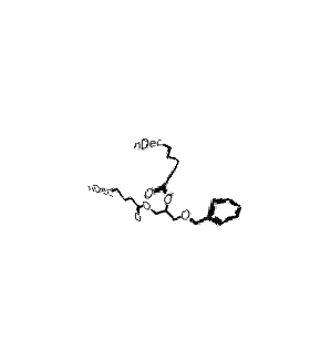 CCCCCCCCCCCCCC(=O)OCC(COCc1ccccc1)OC(=O)CCCCCCCCCCCCC